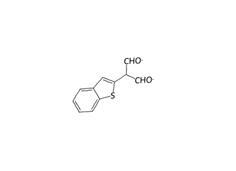 O=[C]C([C]=O)c1cc2ccccc2s1